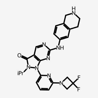 CC(C)n1c(=O)c2cnc(Nc3ccc4c(c3)CCNC4)nc2n1-c1cccc(N2CC(F)(F)C2)n1